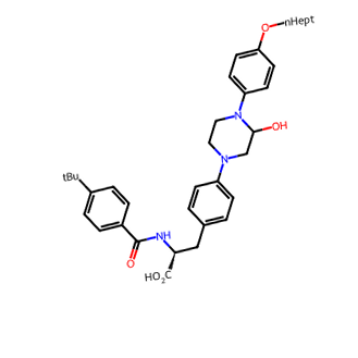 CCCCCCCOc1ccc(N2CCN(c3ccc(C[C@H](NC(=O)c4ccc(C(C)(C)C)cc4)C(=O)O)cc3)CC2O)cc1